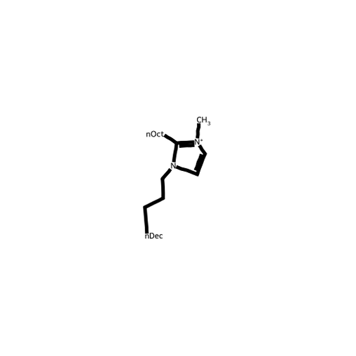 CCCCCCCCCCCCCn1cc[n+](C)c1CCCCCCCC